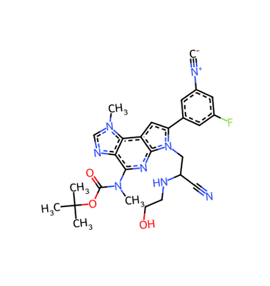 [C-]#[N+]c1cc(F)cc(-c2cc3c4c(ncn4C)c(N(C)C(=O)OC(C)(C)C)nc3n2CC(C#N)NCCO)c1